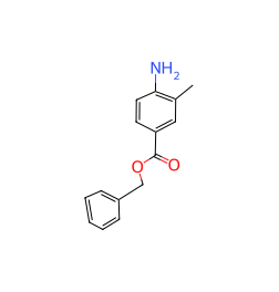 Cc1cc(C(=O)OCc2ccccc2)ccc1N